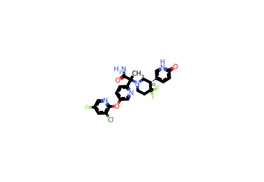 CC(C(N)=O)(c1ccc(Oc2ncc(F)cc2Cl)cn1)N1CCC(F)(F)[C@@H](c2ccc(=O)[nH]c2)C1